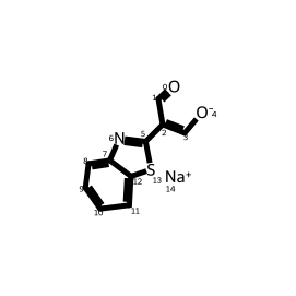 O=CC(=C[O-])c1nc2ccccc2s1.[Na+]